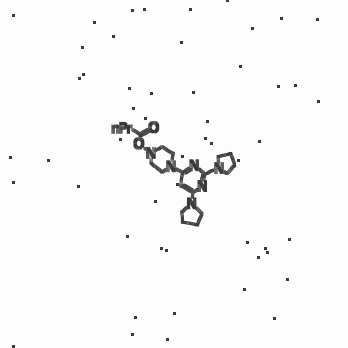 CCCC(=O)ON1CCN(c2cc(N3CCCC3)nc(N3CCCC3)n2)CC1